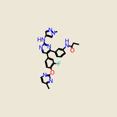 CCC(=O)Nc1cccc(-c2nc(Nc3cnn(C)c3)ncc2-c2ccc(Oc3nccc(C)n3)c(F)c2)c1